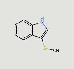 N#CSc1c[nH]c2ccccc12